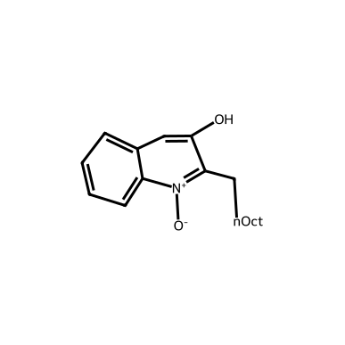 CCCCCCCCCc1c(O)cc2ccccc2[n+]1[O-]